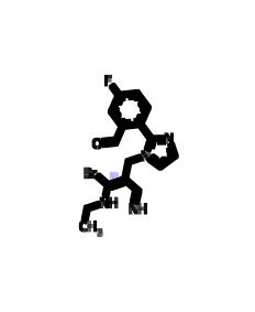 CCN/C(Br)=C(\C=N)Cn1ccnc1-c1ccc(F)cc1C=O